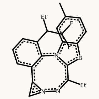 CCc1nn2cc2c2cccc(C(CC)C(F)F)c2n2c1bc1ccc(C)cc12